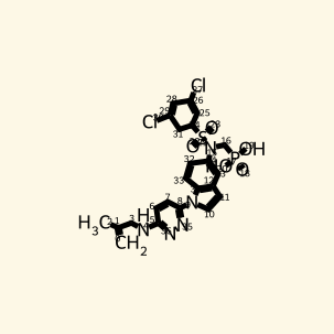 C=C(C)CNc1ccc(-n2ccc3cc(N(CP(=O)(O)O)S(=O)(=O)C4C=C(Cl)C=C(Cl)C4)ccc32)nn1